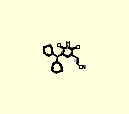 N#C/C=C/c1cn(C(c2ccccc2)c2ccccc2)c(=O)[nH]c1=O